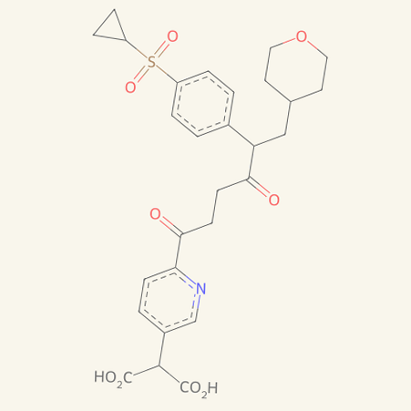 O=C(CCC(=O)C(CC1CCOCC1)c1ccc(S(=O)(=O)C2CC2)cc1)c1ccc(C(C(=O)O)C(=O)O)cn1